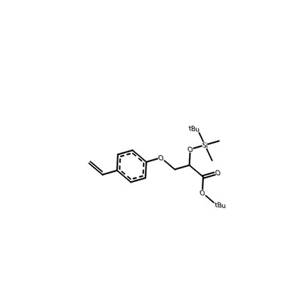 C=Cc1ccc(OCC(O[Si](C)(C)C(C)(C)C)C(=O)OC(C)(C)C)cc1